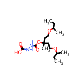 CCC(C)OCCC(C)(CCOC(C)CC)OC(=O)NNC(=O)O